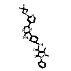 Cc1c(C(=O)Nc2ccc(-c3nc(-c4ccnc(N5CC(F)(F)C5)c4)cnc3N)cc2)c(=O)n(-c2ccccc2)n1C